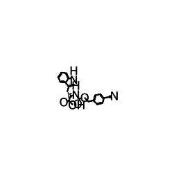 N#Cc1ccc(COC(=O)N[C@@H](Cc2c[nH]c3ccccc23)C(=O)O)cc1